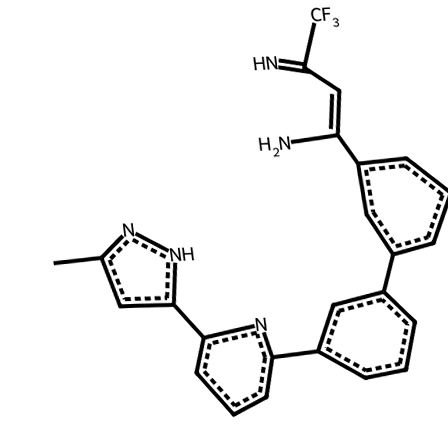 Cc1cc(-c2cccc(-c3cccc(-c4cccc(/C(N)=C/C(=N)C(F)(F)F)c4)c3)n2)[nH]n1